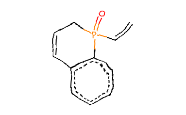 C=CP1(=O)CC=Cc2ccccc21